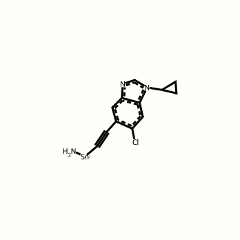 [NH2][Sn][C]#Cc1cc2ncn(C3CC3)c2cc1Cl